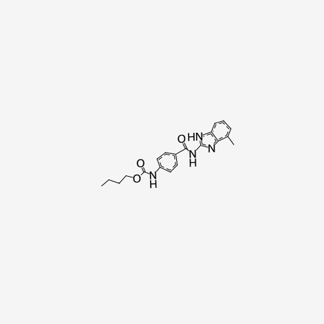 CCCCOC(=O)Nc1ccc(C(=O)Nc2nc3c(C)cccc3[nH]2)cc1